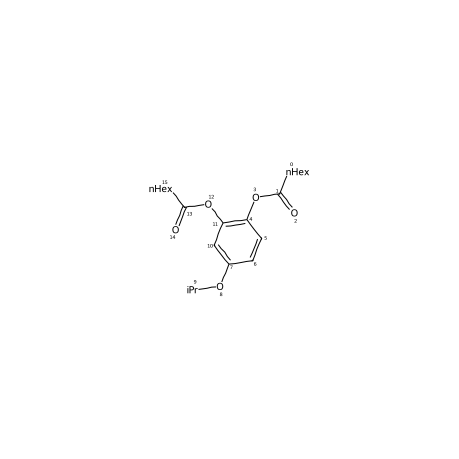 CCCCCCC(=O)Oc1ccc(OC(C)C)cc1OC(=O)CCCCCC